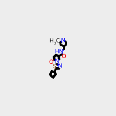 CC1=NCCC(CNC(=O)c2ccc(=O)n(-c3ncc(-c4ccccc4)s3)c2)C1